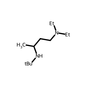 CCN(CC)CCC(C)NC(C)(C)C